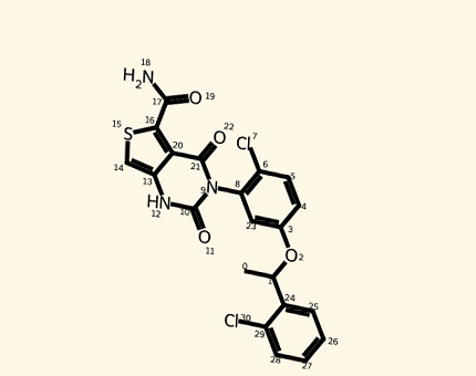 CC(Oc1ccc(Cl)c(-n2c(=O)[nH]c3csc(C(N)=O)c3c2=O)c1)c1ccccc1Cl